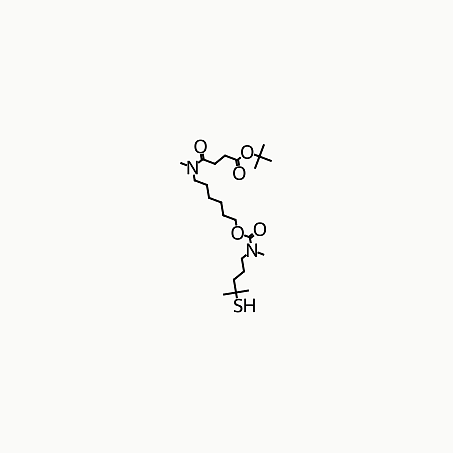 CN(CCCCCCOC(=O)N(C)CCCC(C)(C)S)C(=O)CCC(=O)OC(C)(C)C